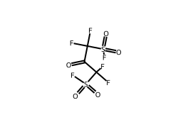 O=C(C(F)(F)S(=O)(=O)F)C(F)(F)S(=O)(=O)F